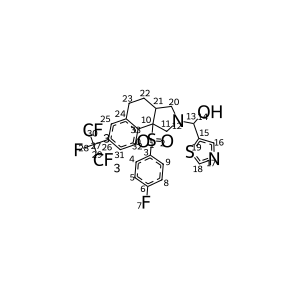 O=S(=O)(c1ccc(F)cc1)C12CN(C(O)c3cncs3)CC1CCc1cc(C(F)(C(F)(F)F)C(F)(F)F)ccc12